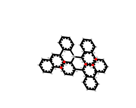 c1ccc(N(c2ccccc2-c2cc3ccccc3c3ccccc23)c2cccc3ccccc23)c(-c2ccc3ccccc3c2)c1